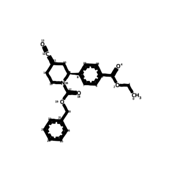 CCOC(=O)c1ccc([C@@H]2CC(=C=O)CCN2C(=O)OCc2ccccc2)cc1